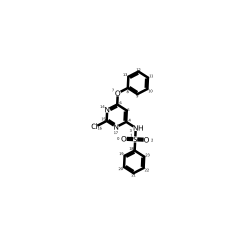 O=S(=O)(Nc1cc(Oc2ccccc2)nc(Cl)n1)c1ccccc1